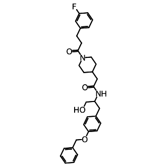 O=C(CC1CCN(C(=O)CCc2cccc(F)c2)CC1)NC(CO)Cc1ccc(OCc2ccccc2)cc1